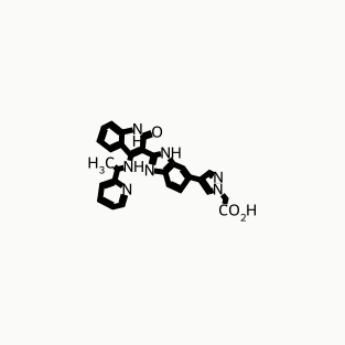 CC(Nc1c(-c2nc3ccc(-c4cnn(CC(=O)O)c4)cc3[nH]2)c(=O)[nH]c2ccccc12)c1ccccn1